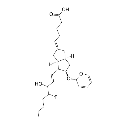 CCCCC(F)C(O)/C=C/C1[C@H]2C/C(=C/CCCC(=O)O)C[C@H]2C[C@H]1O[C@H]1C=CC=CO1